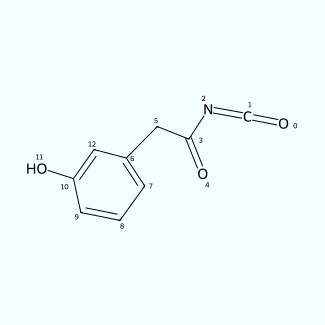 O=C=NC(=O)Cc1cccc(O)c1